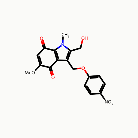 COC1=CC(=O)c2c(c(COc3ccc([N+](=O)[O-])cc3)c(CO)n2C)C1=O